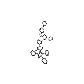 c1ccc(-c2ccc3sc4c(-c5cccc(-c6ccc7c(c6)c6ccccc6c6nc(-c8ccccc8)c(-c8ccccc8)n76)c5)cc(-c5ccccc5)cc4c3c2)cc1